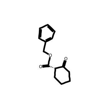 O=C1CCCC[C@@H]1C(=O)OCc1ccccc1